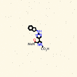 CNC(=O)c1nn(CC(=O)O)cc1-c1cnc(NC2Cc3ccccc3C2)nc1